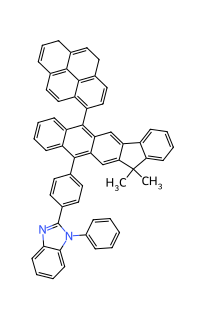 CC1(C)c2ccccc2-c2cc3c(-c4ccc5c6c7c(ccc46)C=CCC7=CC5)c4ccccc4c(-c4ccc(-c5nc6ccccc6n5-c5ccccc5)cc4)c3cc21